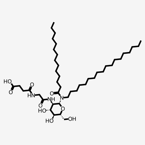 CCCCCCCCCCCCCCCCCCN(C(=O)CCCCCCCCCCCCC)[C@@H]1O[C@H](CO)[C@@H](O)[C@H](O)[C@H]1NC(=O)CNC(=O)CCC(=O)O